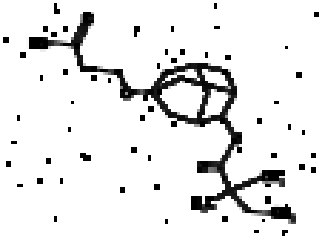 CCC(C)(C)C(=O)OC1C2CC3CC1CC(OCCC(=O)O)(C3)C2